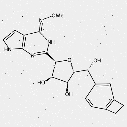 CON=c1[nH]c([C@H]2O[C@H]([C@H](O)c3ccc4c(c3)CC4)[C@@H](O)[C@H]2O)nc2[nH]ccc12